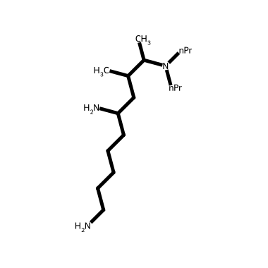 CCCN(CCC)C(C)C(C)CC(N)CCCCCN